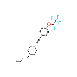 C=CCC[C@H]1CC[C@H](C#Cc2ccc(OC(F)C(F)(F)F)cc2)CC1